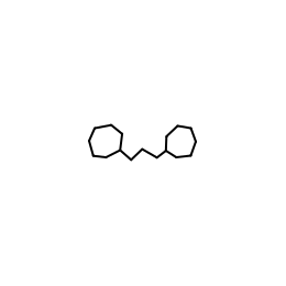 C1CCCC(CCCC2CCCCCC2)CC1